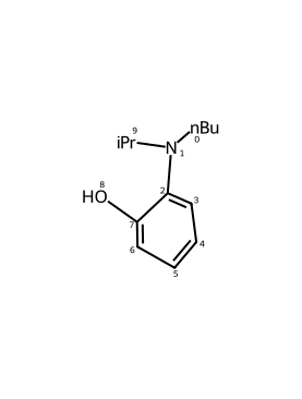 CCCCN(c1ccccc1O)C(C)C